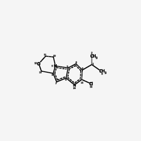 CC(C)c1cc2c(cc3n2CCOC3)nc1Cl